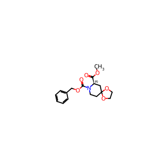 COC(=O)[C@H]1CC2(CCN1C(=O)OCc1ccccc1)OCCO2